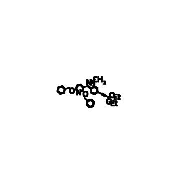 CCOC(C#Cc1ccc2c(-c3ccc(OCc4ccccc4)nc3OCc3ccccc3)nn(C)c2c1)OCC